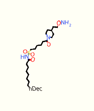 CCCCCCCCCCCCCCCCCC(=O)NS(=O)(=O)CCCCCC(=O)N1CCC(CCON)CC1